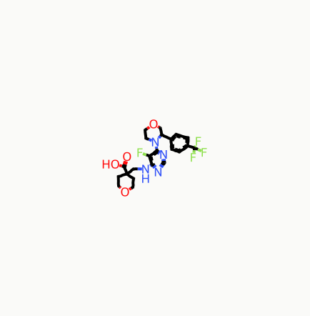 O=C(O)C1(CNc2ncnc(N3CCOCC3c3ccc(C(F)(F)F)cc3)c2F)CCOCC1